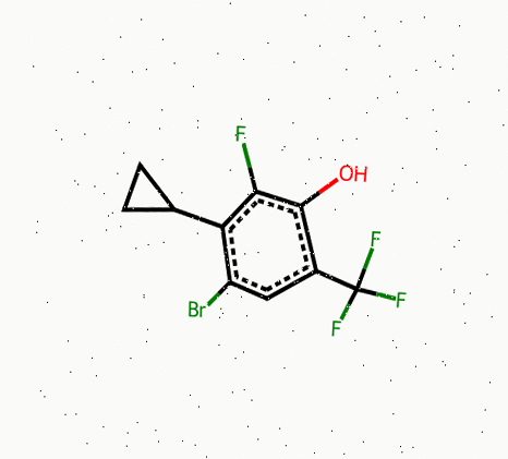 Oc1c(C(F)(F)F)cc(Br)c(C2CC2)c1F